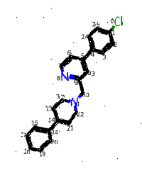 Clc1ccc(-c2ccnc(CN3CCC(c4ccccc4)CC3)c2)cc1